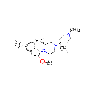 CCO[C@@H]1Cc2cc(C(F)(F)F)ccc2[C@H]1N1CCN(C2(C)CCN(C=O)CC2)C[C@@H]1C